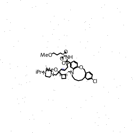 COCCCS(=O)(=O)NC(=O)c1ccc2c(c1)N(C[C@@H]1CC[C@H]1[C@](/C=C/CC(C)C)(CN1CCN(C(C)C)[C@H](C)C1)OC)CCCCc1cc(Cl)ccc1CO2